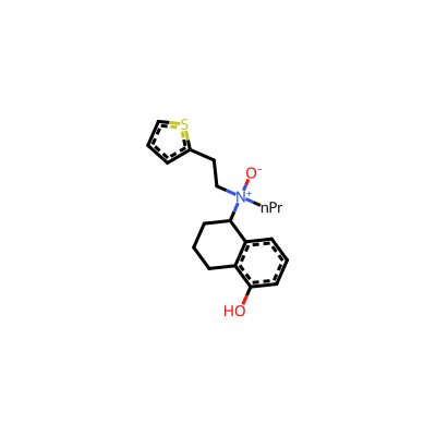 CCC[N+]([O-])(CCc1cccs1)C1CCCc2c(O)cccc21